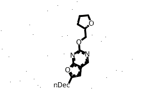 CCCCCCCCCCc1cc2cnc(OCC3CCCO3)nc2o1